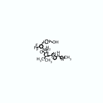 C=C(F)/C(=C\C(C#Cc1cnc2c(Nc3cnn(C)c3)cccn12)=C(C)C)C(=O)Nc1cc(CN2CCN(CCO)CC2)cc(C(F)(F)F)c1